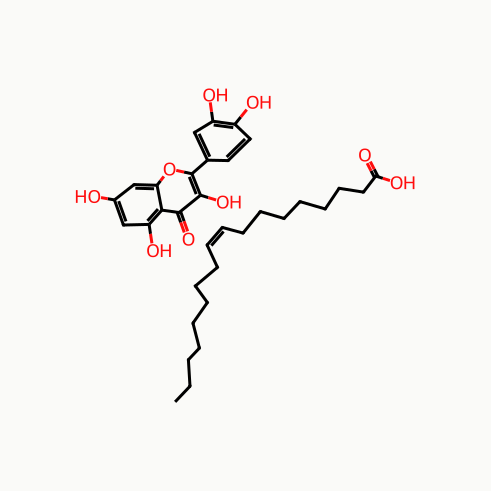 CCCCCCCC/C=C\CCCCCCCC(=O)O.O=c1c(O)c(-c2ccc(O)c(O)c2)oc2cc(O)cc(O)c12